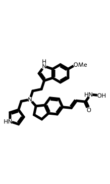 COc1ccc2c(CCN(Cc3cc[nH]c3)C3CCc4cc(C=CC(=O)NO)ccc43)c[nH]c2c1